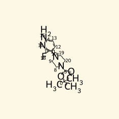 CC(C)(C)OC(=O)N1CCN(c2ccc(N)nc2F)CC1